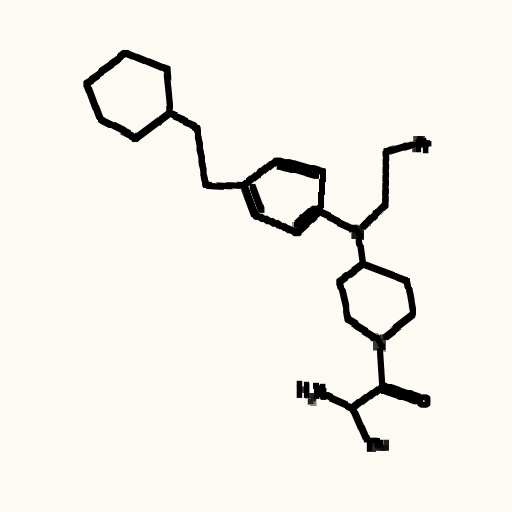 CCC(C)C(N)C(=O)N1CCC(N(CCC(C)C)c2ccc(CCC3CCCCC3)cc2)CC1